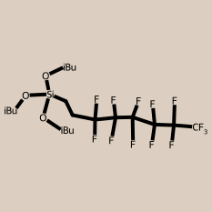 CCC(C)O[Si](CCC(F)(F)C(F)(F)C(F)(F)C(F)(F)C(F)(F)C(F)(F)F)(OC(C)CC)OC(C)CC